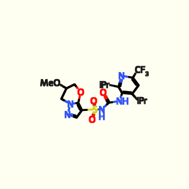 COC1COc2c(S(=O)(=O)NC(=O)Nc3c(C(C)C)cc(C(F)(F)F)nc3C(C)C)cnn2C1